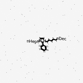 CCCCCCCCCCCCCCCN1C=CN(CCCCCCC)C1c1ccccc1